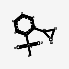 CS(=O)(=O)c1ccccc1C1CO1